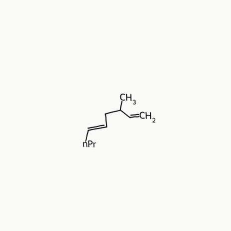 C=CC(C)CC=CC[CH]C